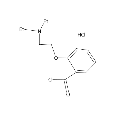 CCN(CC)CCOc1ccccc1C(=O)Cl.Cl